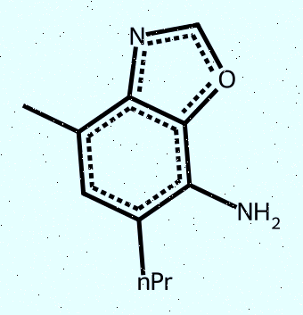 CCCc1cc(C)c2ncoc2c1N